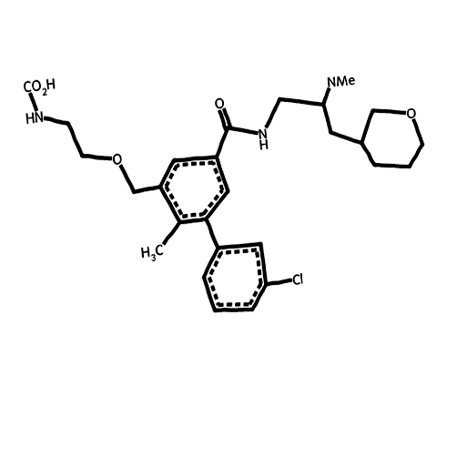 CNC(CNC(=O)c1cc(COCCNC(=O)O)c(C)c(-c2cccc(Cl)c2)c1)CC1CCCOC1